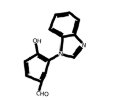 O=Cc1ccc(O)c(-n2cnc3ccccc32)c1